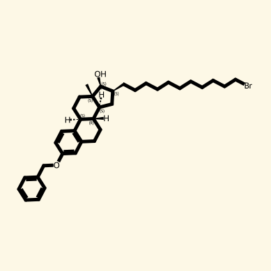 C[C@]12CC[C@@H]3c4ccc(OCc5ccccc5)cc4CC[C@H]3[C@@H]1C[C@H](CCCCCCCCCCCBr)[C@@H]2O